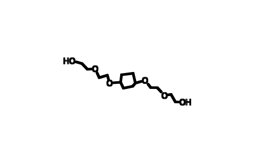 OCCOCCOC1CCC(OCCOCCO)CC1